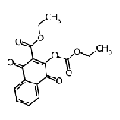 CCOC(=O)OC1=C(C(=O)OCC)C(=O)c2ccccc2C1=O